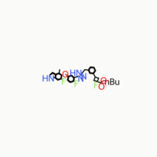 CCCCOC(=O)C1(F)CC(c2cccc(Cc3nnc(-c4cc(Oc5c(F)cc6[nH]ccc6c5C)ccc4F)[nH]3)c2)C1